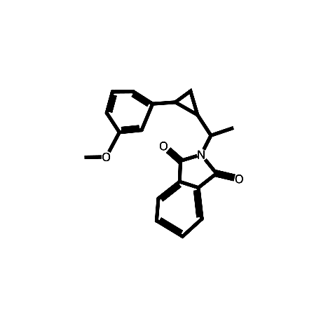 COc1cccc(C2CC2C(C)N2C(=O)c3ccccc3C2=O)c1